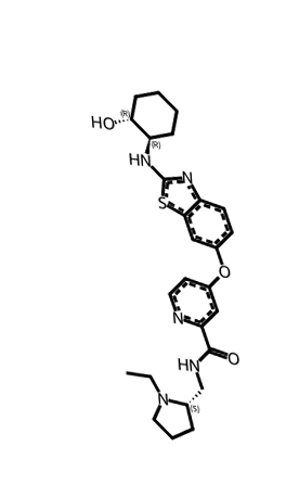 CCN1CCC[C@H]1CNC(=O)c1cc(Oc2ccc3nc(N[C@@H]4CCCC[C@H]4O)sc3c2)ccn1